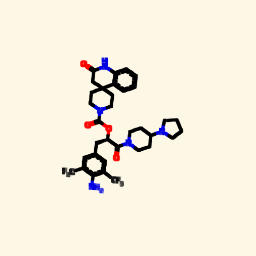 Nc1c(C(F)(F)F)cc(C[C@@H](OC(=O)N2CCC3(CC2)CC(=O)Nc2ccccc23)C(=O)N2CCC(N3CCCC3)CC2)cc1C(F)(F)F